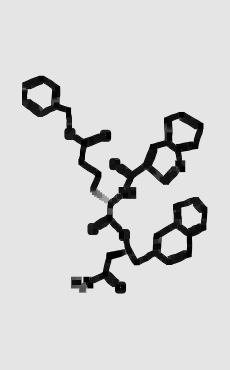 NC(=O)C[C@H](Cc1ccc2ccccc2c1)OC(=O)[C@H](CCCC(=O)OCc1ccccc1)NC(=O)c1cnc2ccccc2c1